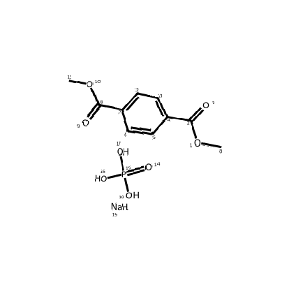 COC(=O)c1ccc(C(=O)OC)cc1.O=P(O)(O)O.[NaH]